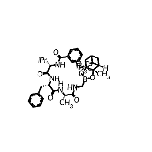 CC(C)[C@H](NC(=O)c1ccccc1)C(=O)N[C@@H](Cc1ccccc1)C(=O)N[C@@H](C)C(=O)NCB1O[C@@H]2CC3C[C@@H](C3(C)C)[C@]2(C)O1